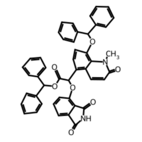 Cn1c(=O)ccc2c(C(Oc3cccc4c3C(=O)NC4=O)C(=O)OC(c3ccccc3)c3ccccc3)ccc(OC(c3ccccc3)c3ccccc3)c21